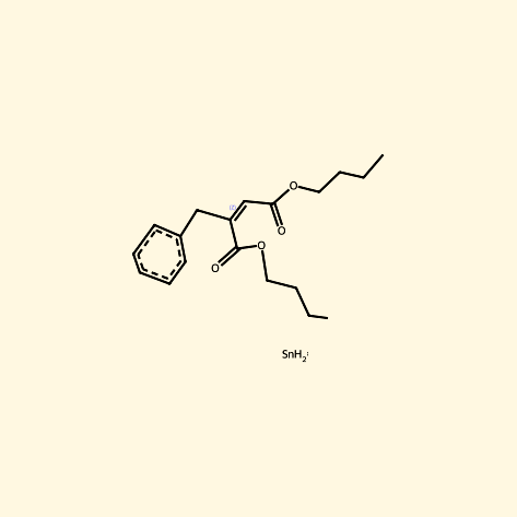 CCCCOC(=O)/C=C(/Cc1ccccc1)C(=O)OCCCC.[SnH2]